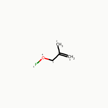 C=C(C)COF